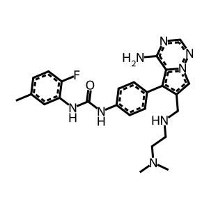 Cc1ccc(F)c(NC(=O)Nc2ccc(-c3c(CNCCN(C)C)cn4ncnc(N)c34)cc2)c1